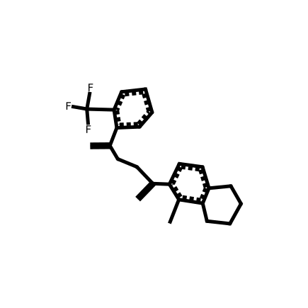 C=C(CCC(=C)c1ccc2c(c1C)CCCC2)c1ccccc1C(F)(F)F